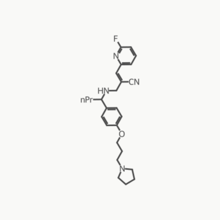 CCCC(NC/C(C#N)=C/c1cccc(F)n1)c1ccc(OCCCN2CCCC2)cc1